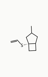 C=CS[C@@]12CCC1CC(C)C2